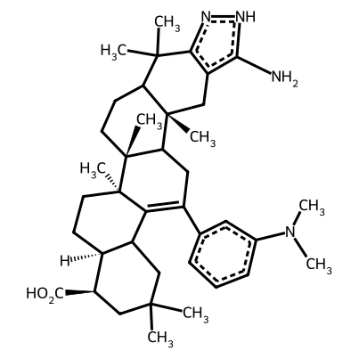 CN(C)c1cccc(C2=C3C4CC(C)(C)C[C@@H](C(=O)O)[C@H]4CC[C@@]3(C)[C@]3(C)CCC4C(C)(C)c5n[nH]c(N)c5C[C@]4(C)C3C2)c1